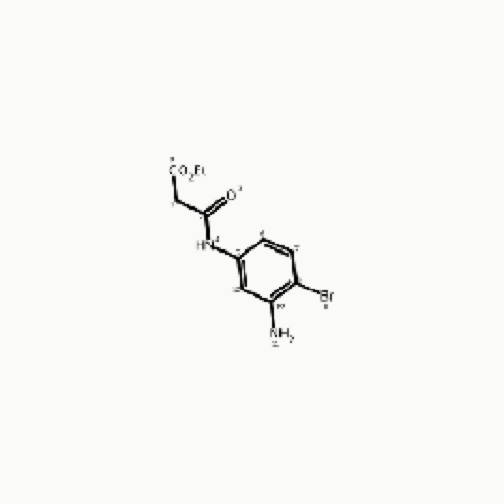 CCOC(=O)CC(=O)Nc1ccc(Br)c(N)c1